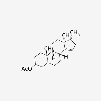 CC(=O)OC1CC[C@@]2(C)C(CC[C@H]3C4=CCC(C)[C@@]4(C)CC[C@H]32)C1